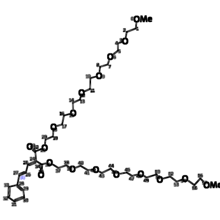 COCCOCCOCCOCCOCCOCCOCCOC(=O)C(=C/C=C/c1ccccc1)C(=O)OCCOCCOCCOCCOCCOCCOCCOC